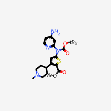 COC(=O)c1sc(N(C(=O)OC(C)(C)C)c2cc(N)ccn2)cc1C1CCN(C)CC1